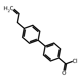 C=CCc1ccc(-c2ccc(C(=O)Cl)cc2)cc1